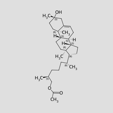 CC(=O)OC[C@@H](C)CCC[C@@H](C)[C@H]1CC[C@H]2[C@@H]3CC=C4C[C@@](C)(O)CC[C@]4(C)[C@H]3CC[C@]12C